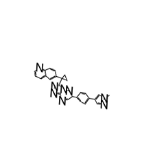 Cn1cc(-c2ccc(-c3cnc4nnc(C5(c6ccc7ncccc7c6)CC5)n4n3)cc2)cn1